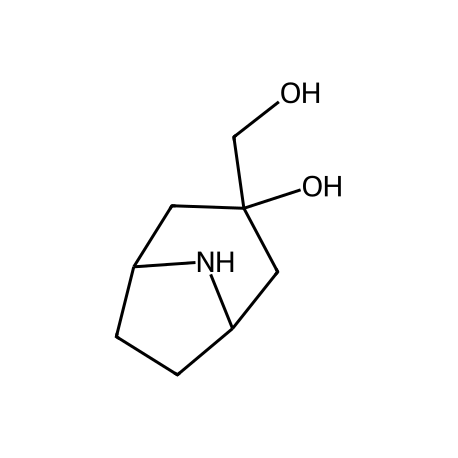 OCC1(O)CC2CCC(C1)N2